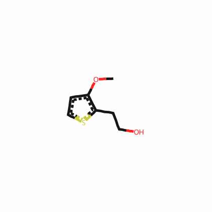 COc1ccsc1CCO